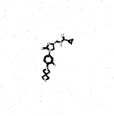 O=C(NC[C@H]1CN(c2ccc(N3CC4(CSC4)C3)c(F)c2)C(=O)O1)C1CC1